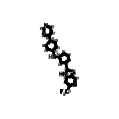 FC(F)(F)c1cc2[nH]c(-c3cccc(Nc4ccc(-c5ccncn5)cc4)c3)nc2cn1